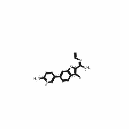 C=C/N=C(/N)c1sc2cc(-c3ccc(N)nc3)ccc2c1C